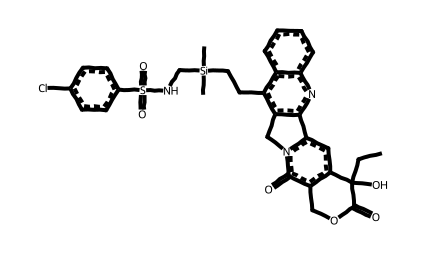 CCC1(O)C(=O)OCc2c1cc1n(c2=O)Cc2c-1nc1ccccc1c2CC[Si](C)(C)CNS(=O)(=O)c1ccc(Cl)cc1